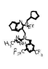 CCN(CC1CCCC1)c1nc2c(cc1CN(Cc1cc(C(F)(F)F)cc(C(F)(F)F)c1)c1nn(C)[nH]1)CCC2